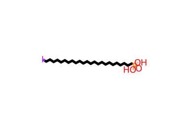 O=P(O)(O)CCCCCCCCCCCCCCCCCCCCCCCCI